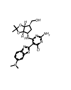 CN(C)c1ccc2nc(-c3c(Cl)nc(N)nc3N[C@@H]3C[C@H](CO)[C@H]4OC(C)(C)O[C@H]43)sc2c1